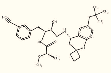 C#Cc1cccc(C[C@H](NC(=O)[C@@H](C)OC)[C@@H](O)CN[C@H]2CC3(CCC3)Oc3ncc(CC(C)(C)C)cc32)c1